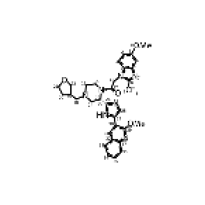 COc1ccc2c(c1)nc(C(F)(F)F)n2CC(=O)N1CCN(CC2CCOC2)C[C@H]1c1ncc(-c2cc3ccccc3nc2OC)[nH]1